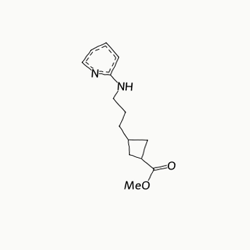 COC(=O)C1CC(CCCNc2ccccn2)C1